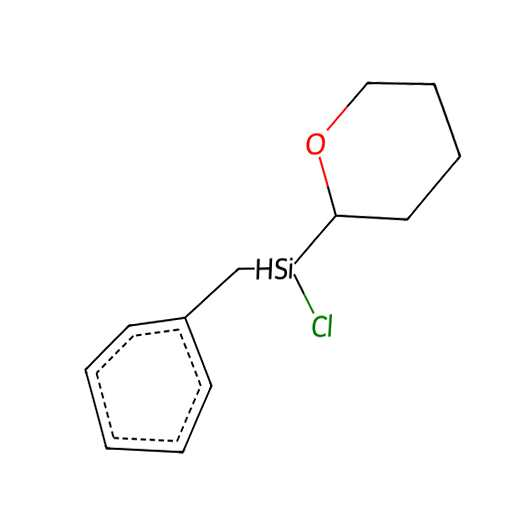 Cl[SiH](Cc1ccccc1)C1CCCCO1